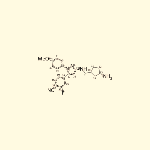 COc1ccc(-n2nc(NCC3CC[C@H](N)C3)cc2-c2ccc(C#N)c(F)c2)cc1